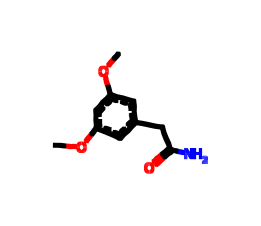 COc1cc(CC(N)=O)cc(OC)c1